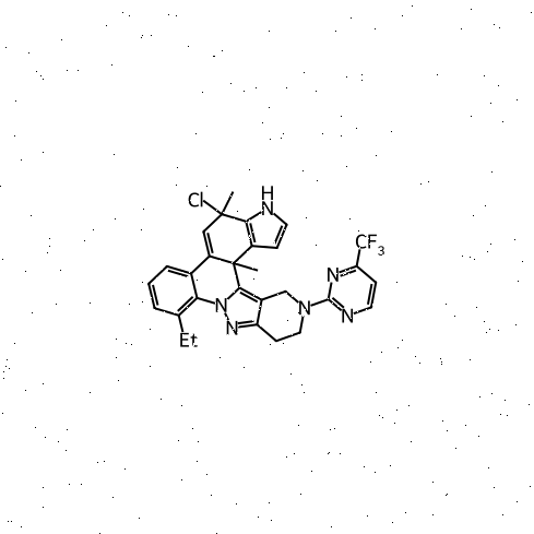 CCc1cccc2c1-n1nc3c(c1C1(C)C2=CC(C)(Cl)c2[nH]ccc21)CN(c1nccc(C(F)(F)F)n1)CC3